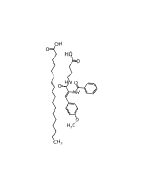 CCCCCCCCCCC=CCCCCCC(=O)O.COc1ccc(C=C(NC(=O)c2ccccc2)C(=O)NCCCC(=O)O)cc1